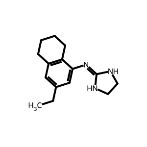 CCc1cc2c(c(N=C3NCCN3)c1)CCCC2